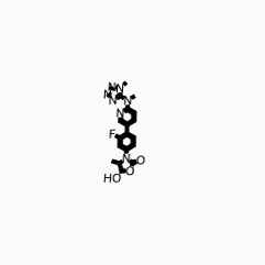 CC1[C@H](O)OC(=O)N1c1ccc(-c2ccc(N(C)c3nnnn3C)nc2)c(F)c1